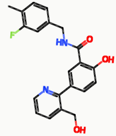 Cc1ccc(CNC(=O)c2cc(-c3ncccc3CO)ccc2O)cc1F